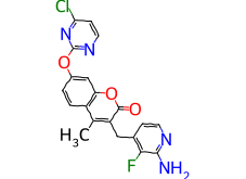 Cc1c(Cc2ccnc(N)c2F)c(=O)oc2cc(Oc3nccc(Cl)n3)ccc12